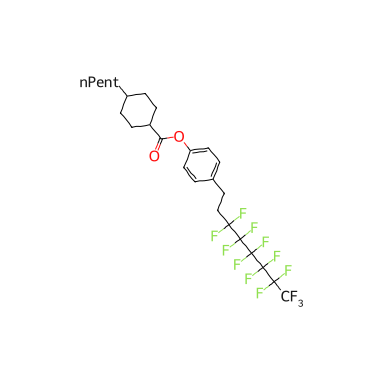 CCCCCC1CCC(C(=O)Oc2ccc(CCC(F)(F)C(F)(F)C(F)(F)C(F)(F)C(F)(F)C(F)(F)F)cc2)CC1